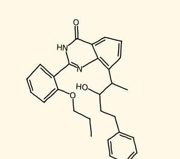 CCCOc1ccccc1-c1nc2c(C(C)C(O)CCc3ccccc3)cccc2c(=O)[nH]1